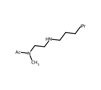 CC(=O)N(C)CCNCCCC(C)C